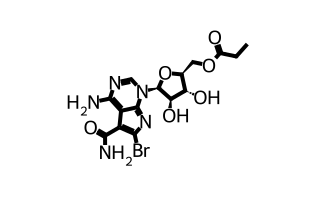 CCC(=O)OC[C@@H]1O[C@H](n2cnc(N)c3c(C(N)=O)c(Br)nc2-3)[C@H](O)[C@H]1O